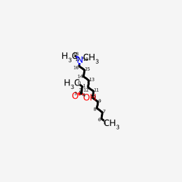 CCC(=O)O.CCCCCCCCCCCCN(C)C